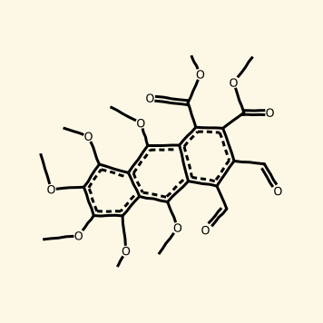 COC(=O)c1c(C=O)c(C=O)c2c(OC)c3c(OC)c(OC)c(OC)c(OC)c3c(OC)c2c1C(=O)OC